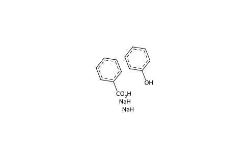 O=C(O)c1ccccc1.Oc1ccccc1.[NaH].[NaH]